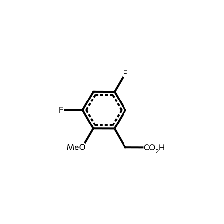 COc1c(F)cc(F)cc1CC(=O)O